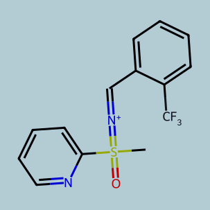 CS(=O)(=[N+]=Cc1ccccc1C(F)(F)F)c1ccccn1